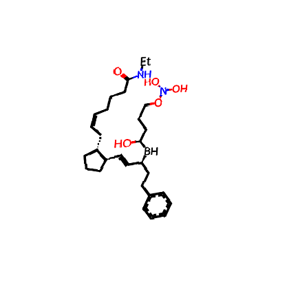 CCNC(=O)CCC/C=C\C[C@H]1CCC[C@@H]1/C=C/[C@@H](BC(O)CCCON(O)O)CCc1ccccc1